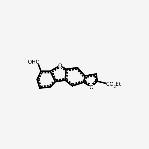 CCOC(=O)c1cc2cc3oc4c(C=O)cccc4c3cc2o1